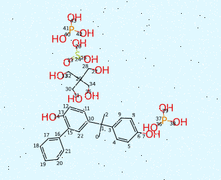 CC(C)(c1ccc(O)cc1)c1ccc(O)c(-c2ccccc2)c1.O=S(O)O.OCC(CO)(CO)CO.OP(O)O.OP(O)O